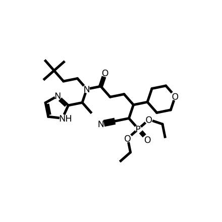 CCOP(=O)(OCC)C(C#N)C(CCC(=O)N(CCC(C)(C)C)C(C)c1ncc[nH]1)C1CCOCC1